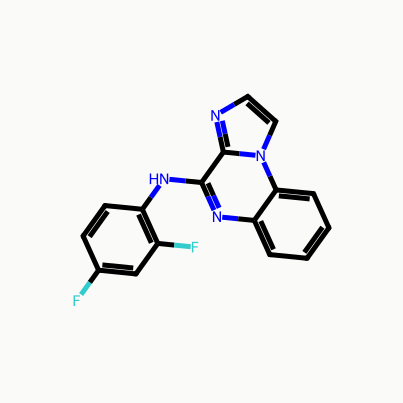 Fc1ccc(Nc2nc3ccccc3n3ccnc23)c(F)c1